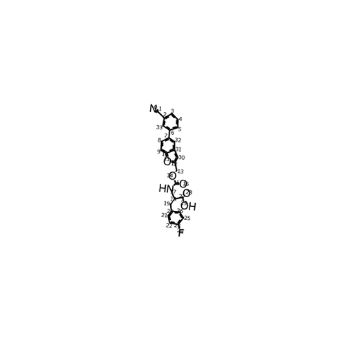 N#Cc1cccc(-c2ccc3oc(COC(=O)N[C@H](Cc4ccc(F)cc4)C(=O)O)cc3c2)c1